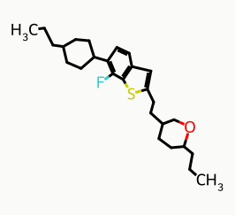 CCCC1CCC(c2ccc3cc(CCC4CCC(CCC)OC4)sc3c2F)CC1